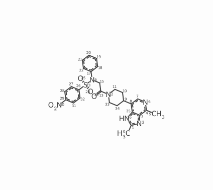 Cc1nc2c(C)ncc(C3CCN(C(=O)CN(c4ccccc4)S(=O)(=O)c4ccc([N+](=O)[O-])cc4)CC3)c2[nH]1